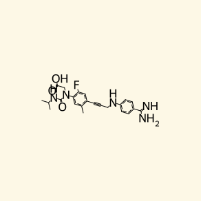 Cc1cc(N(CC(=O)O)C(=O)NC(C)C)c(F)cc1C#CCNc1ccc(C(=N)N)cc1